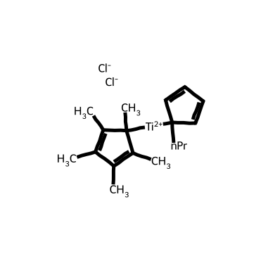 CCC[C]1([Ti+2][C]2(C)C(C)=C(C)C(C)=C2C)C=CC=C1.[Cl-].[Cl-]